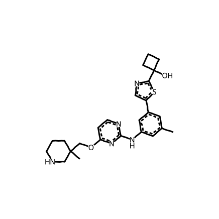 Cc1cc(Nc2nccc(OCC3(C)CCCNC3)n2)cc(-c2cnc(C3(O)CCC3)s2)c1